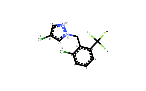 FC(F)(F)c1cccc(Cl)c1Cn1cc(Cl)cn1